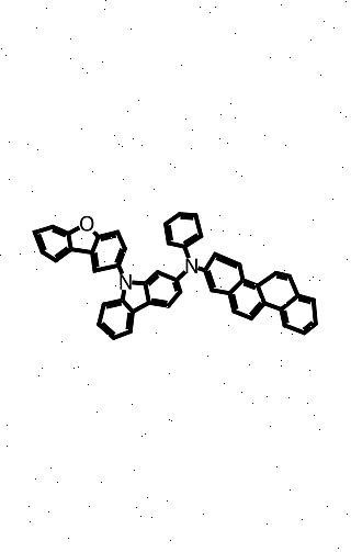 c1ccc(N(c2ccc3c(ccc4c5ccccc5ccc34)c2)c2ccc3c4ccccc4n(-c4ccc5oc6ccccc6c5c4)c3c2)cc1